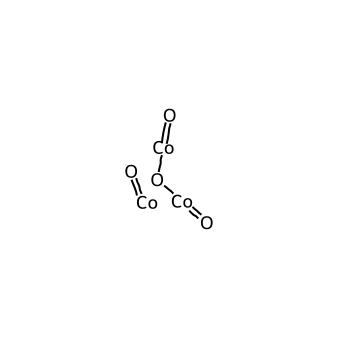 [O]=[Co].[O]=[Co][O][Co]=[O]